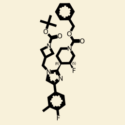 Cc1cc(-c2cn(CC3CN(C(=O)OC(C)(C)C)C3)c([C@H]3CCN(C(=O)OCc4ccccc4)C[C@H]3F)n2)ccc1F